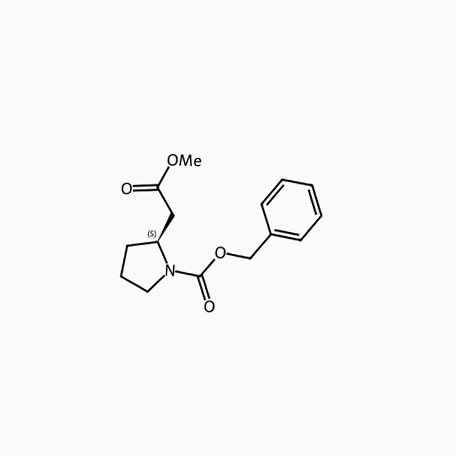 COC(=O)C[C@@H]1CCCN1C(=O)OCc1ccccc1